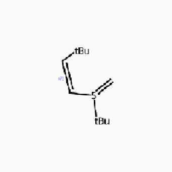 C=S(/C=C\C(C)(C)C)C(C)(C)C